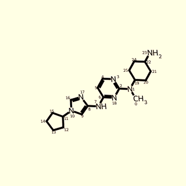 CN(c1nccc(Nc2cn(C3CCCC3)cn2)n1)C1CCC(N)CC1